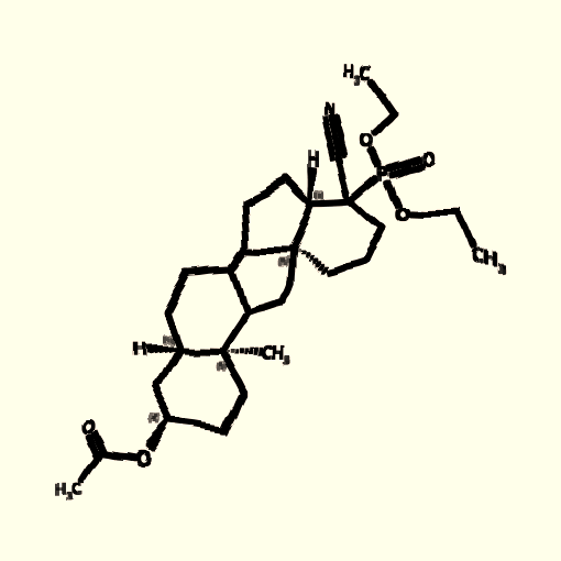 CCOP(=O)(OCC)C1(C#N)CCC[C@]23CCC4C(CC[C@H]5C[C@H](OC(C)=O)CC[C@]45C)C2CC[C@H]13